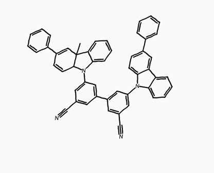 CC12C=C(c3ccccc3)C=CC1N(c1cc(C#N)cc(-c3cc(C#N)cc(-n4c5ccccc5c5cc(-c6ccccc6)ccc54)c3)c1)c1ccccc12